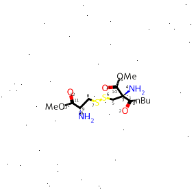 CCCCC(=O)[C@](N)(CSSC[C@H](N)C(=O)OC)C(=O)OC